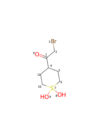 O=C(CBr)C1CCS(O)(O)CC1